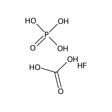 F.O=C(O)O.O=P(O)(O)O